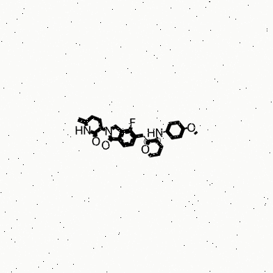 C=C1CCC(N2Cc3c(ccc(C[C@H]4OCCC[C@@H]4N[C@H]4CC[C@H](OC)CC4)c3F)C2=O)C(=O)N1